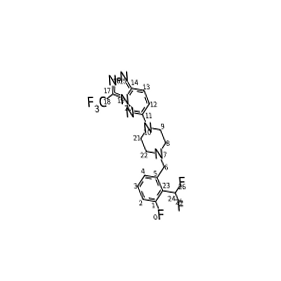 Fc1cccc(CN2CCN(c3ccc4nnc(C(F)(F)F)n4n3)CC2)c1C(F)F